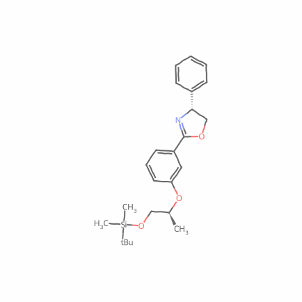 C[C@@H](CO[Si](C)(C)C(C)(C)C)Oc1cccc(C2=N[C@H](c3ccccc3)CO2)c1